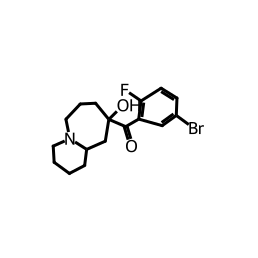 O=C(c1cc(Br)ccc1F)C1(O)CCCN2CCCCC2C1